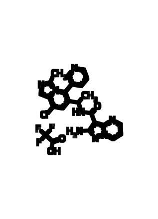 Cc1ncc2c(Cl)cc(C(C)NC(=O)c3c(N)nn4cccnc34)c(-c3cccnc3)n12.O=C(O)C(F)(F)F